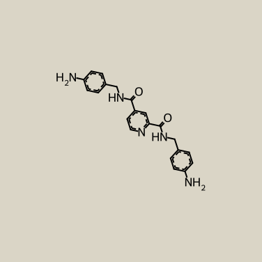 Nc1ccc(CNC(=O)c2ccnc(C(=O)NCc3ccc(N)cc3)c2)cc1